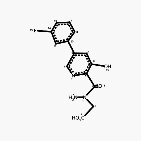 NN(CC(=O)O)C(=O)c1ncc(-c2cccc(F)c2)cc1O